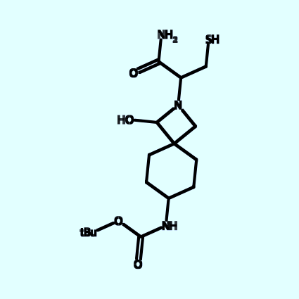 CC(C)(C)OC(=O)NC1CCC2(CC1)CN(C(CS)C(N)=O)C2O